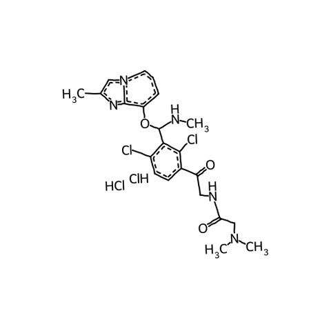 CNC(Oc1cccn2cc(C)nc12)c1c(Cl)ccc(C(=O)CNC(=O)CN(C)C)c1Cl.Cl.Cl